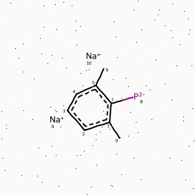 Cc1cccc(C)c1[P-2].[Na+].[Na+]